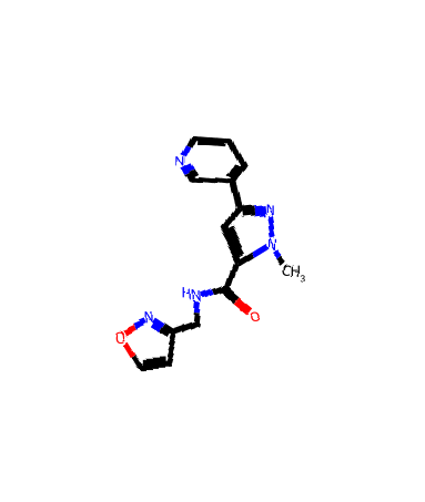 Cn1nc(-c2cccnc2)cc1C(=O)NCc1ccon1